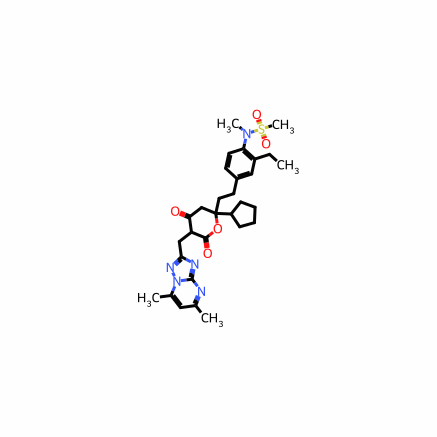 CCc1cc(CCC2(C3CCCC3)CC(=O)C(Cc3nc4nc(C)cc(C)n4n3)C(=O)O2)ccc1N(C)S(C)(=O)=O